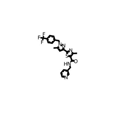 Cc1nc(-c2cc(C)n(Cc3ccc(C(F)(F)F)cc3)n2)sc1C(=O)NCc1cccnc1